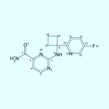 NC(=O)c1ccnc(NC2(c3ccc(F)cn3)CCC2)n1